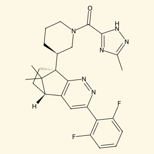 Cc1n[nH]c(C(=O)N2CCC[C@H]([C@@]34CC[C@@H](c5cc(-c6c(F)cccc6F)nnc53)C4(C)C)C2)n1